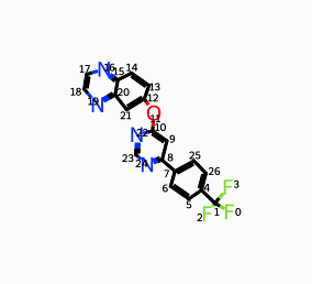 FC(F)(F)c1ccc(-c2cc(Oc3ccc4nccnc4c3)ncn2)cc1